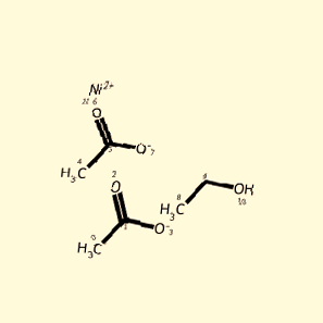 CC(=O)[O-].CC(=O)[O-].CCO.[Ni+2]